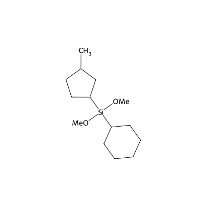 CO[Si](OC)(C1CCCCC1)C1CCC(C)C1